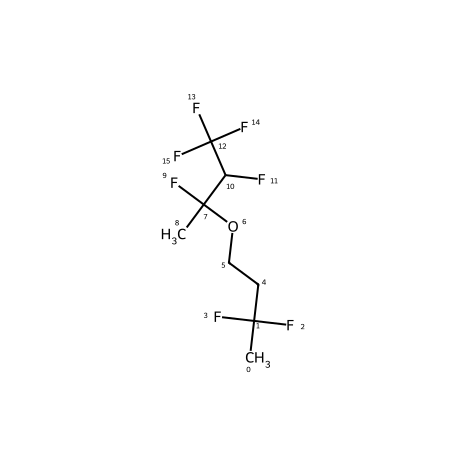 CC(F)(F)CCOC(C)(F)C(F)C(F)(F)F